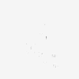 CNC(=O)N[C@H]1C[C@H](COC(=O)OCc2ccccc2)C(OP(O)(=S)OC)[C@@H]1OC